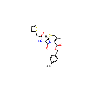 CC1=C(C(=O)OCc2ccc([N+](=O)[O-])cc2)N2C(=O)C(NC(=O)Cc3cccs3)[C@H]2SC1